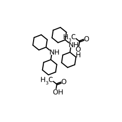 C1CCC(NC2CCCCC2)CC1.C1CCC(NC2CCCCC2)CC1.CC(=O)O.CC(=O)O